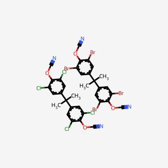 CC(C)(c1cc(Br)c(OC#N)c(Br)c1)c1cc(Br)c(OC#N)c(Br)c1.CC(C)(c1cc(Cl)c(OC#N)c(Cl)c1)c1cc(Cl)c(OC#N)c(Cl)c1